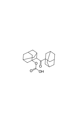 O=C(O)OC12CC3CC(CC(C3)C1C(=O)C13CC4CC(CC(C4)C1)C3)C2